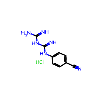 Cl.N#Cc1ccc(NC(=N)NC(=N)N)cc1